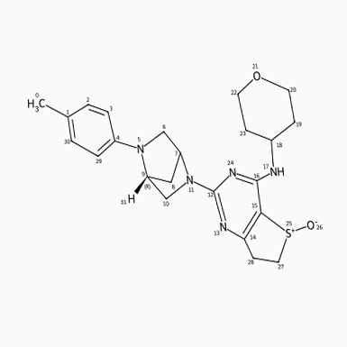 Cc1ccc(N2CC3C[C@@H]2CN3c2nc3c(c(NC4CCOCC4)n2)[S+]([O-])CC3)cc1